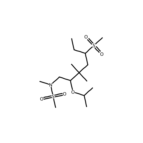 CCC(CC(C)(C)C(CN(C)S(C)(=O)=O)OC(C)C)S(C)(=O)=O